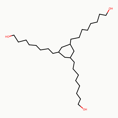 OCCCCCCCCC1CC(CCCCCCCCO)CC(CCCCCCCCO)C1